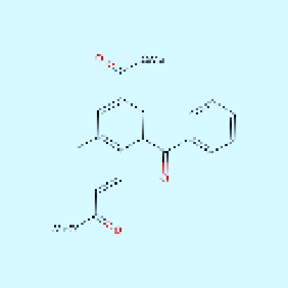 COC(=O)C=Cc1c(C)cc(C(=O)OC)cc1C(=O)c1ccccc1